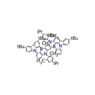 Cc1cc(C(C)C)cc(C)c1N1c2cc3c(cc2B2c4c1cccc4-n1c4ccc(C(C)(C)C)cc4c4cc(C(C)(C)C)cc2c41)N(c1c(C)cc(C(C)C)cc1C)c1c(C(C)(C)C)cc2c4cc(C(C)(C)C)ccc4n4c2c1B3c1ccccc1-4